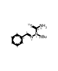 CC(C)(C)N(N=Cc1ccccc1)C(N)=S